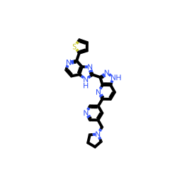 c1csc(-c2nccc3[nH]c(-c4n[nH]c5ccc(-c6cncc(CN7CCCC7)c6)nc45)nc23)c1